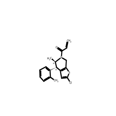 C=CC(=O)N1Cc2sc(Cl)cc2[C@H](c2ccccc2C)[C@H]1C